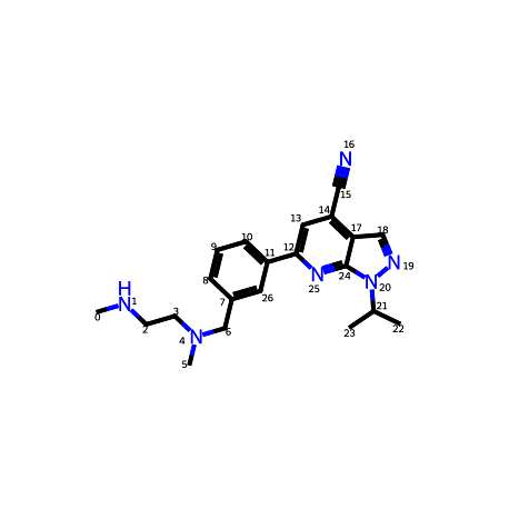 CNCCN(C)Cc1cccc(-c2cc(C#N)c3cnn(C(C)C)c3n2)c1